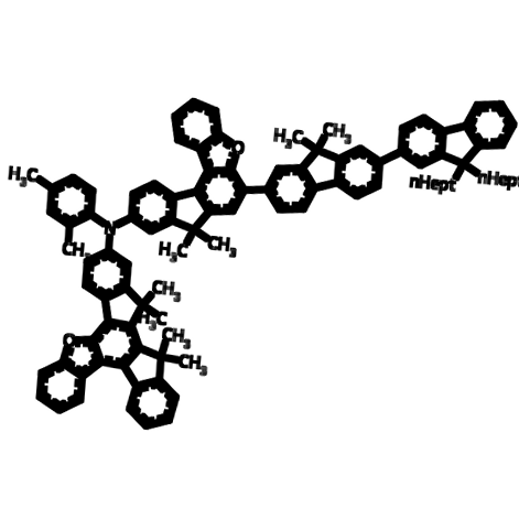 CCCCCCCC1(CCCCCCC)c2ccccc2-c2ccc(-c3ccc4c(c3)C(C)(C)c3cc(-c5cc6c(c7c5oc5ccccc57)-c5ccc(N(c7ccc8c(c7)C(C)(C)c7c9c(c%10c(oc%11ccccc%11%10)c7-8)-c7ccccc7C9(C)C)c7ccc(C)cc7C)cc5C6(C)C)ccc3-4)cc21